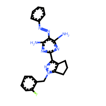 Nc1nc(-c2nn(Cc3ccccc3F)c3c2CCC3)nc(N)c1/N=N/c1ccccc1